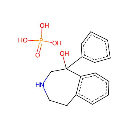 O=P(O)(O)O.OC1(c2ccccc2)CNCCc2ccccc21